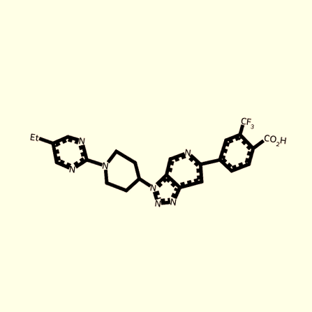 CCc1cnc(N2CCC(n3nnc4cc(-c5ccc(C(=O)O)c(C(F)(F)F)c5)ncc43)CC2)nc1